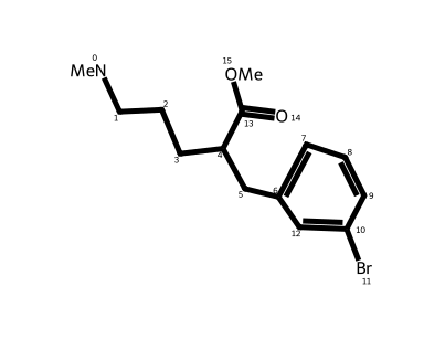 CNCCCC(Cc1cccc(Br)c1)C(=O)OC